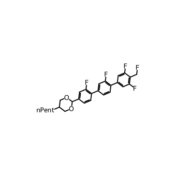 CCCCCC1COC(c2ccc(-c3ccc(-c4cc(F)c(CF)c(F)c4)c(F)c3)c(F)c2)OC1